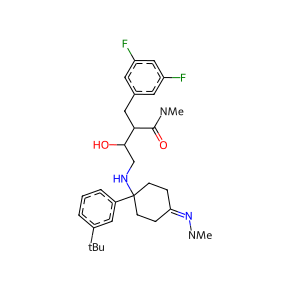 CNN=C1CCC(NCC(O)C(Cc2cc(F)cc(F)c2)C(=O)NC)(c2cccc(C(C)(C)C)c2)CC1